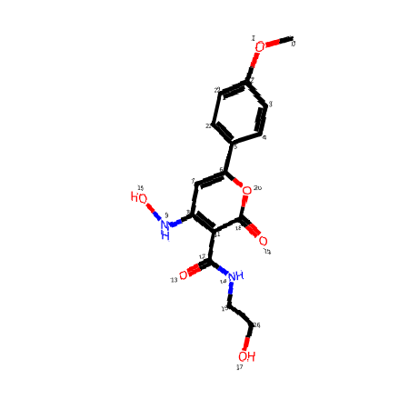 COc1ccc(-c2cc(NO)c(C(=O)NCCO)c(=O)o2)cc1